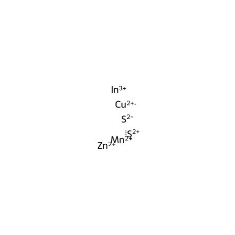 [Cu+2].[In+3].[Mn+2].[S+2].[S-2].[Zn+2]